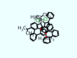 CC(C)c1ccc2c(c1-c1ccccc1-c1ccccc1)C=C(c1ccccc1)[CH]2[Zr]([Cl])([Cl])([CH]1C(c2ccccc2)=Cc2c1ccc(C(C)C)c2-c1ccccc1-c1ccccc1)[SiH](C)C